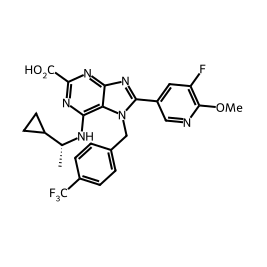 COc1ncc(-c2nc3nc(C(=O)O)nc(N[C@H](C)C4CC4)c3n2Cc2ccc(C(F)(F)F)cc2)cc1F